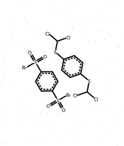 ClC(Cl)Sc1ccc(SC(Cl)Cl)cc1.O=S(=O)(Br)c1ccc(S(=O)(=O)Br)cc1